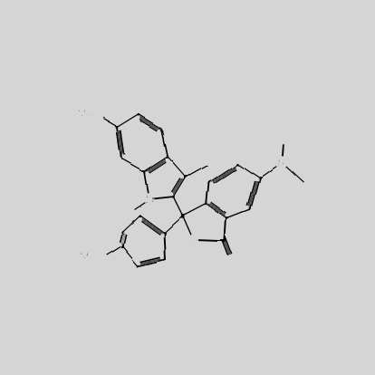 CCn1c(C2(c3ccc(OC)cc3)OC(=O)c3cc(N(C)C)ccc32)c(C)c2ccc(OC)cc21